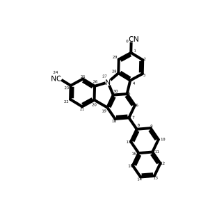 N#Cc1ccc2c3cc(-c4ccc5ccccc5c4)cc4c5ccc(C#N)cc5n(c2c1)c34